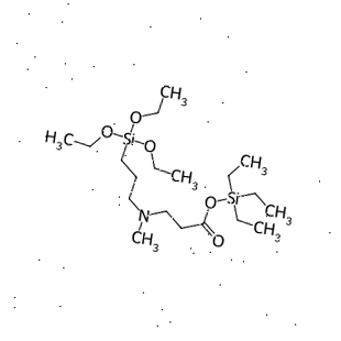 CCO[Si](CCCN(C)CCC(=O)O[Si](CC)(CC)CC)(OCC)OCC